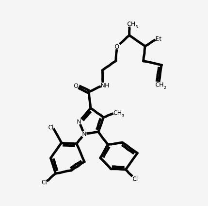 C=CCC(CC)C(C)OCCNC(=O)c1nn(-c2ccc(Cl)cc2Cl)c(-c2ccc(Cl)cc2)c1C